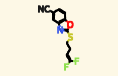 N#Cc1ccc2oc(SCCC=C(F)F)nc2c1